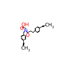 CC#Cc1ccc(CCC(=O)N(CC(=O)O)Cc2ccc(C#CC)cc2)cc1